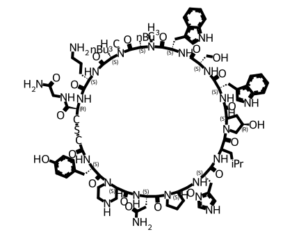 CCCC[C@H]1C(=O)N(C)[C@@H](CCCC)C(=O)N[C@@H](CCCN)C(=O)N[C@H](C(=O)NCC(N)=O)CSCC(=O)N[C@@H](Cc2ccc(O)cc2)C(=O)N2CCNC[C@H]2C(=O)N[C@@H](CC(N)=O)C(=O)N2CCC[C@H]2C(=O)N[C@@H](Cc2c[nH]cn2)C(=O)NC(CC(C)C)C(=O)N2C[C@H](O)C[C@H]2C(=O)N[C@@H](Cc2c[nH]c3ccccc23)C(=O)N[C@@H](CO)C(=O)N[C@@H](Cc2c[nH]c3ccccc23)C(=O)N1C